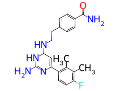 Cc1c(F)ccc(C2=CC(NCCc3ccc(C(N)=O)cc3)NC(N)=N2)c1C